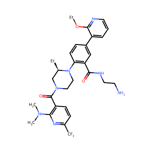 CCOc1ncccc1-c1ccc(N2CCN(C(=O)c3ccc(C(F)(F)F)nc3N(C)C)C[C@H]2CC)c(C(=O)NCCN)c1